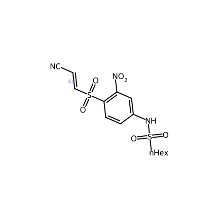 CCCCCCS(=O)(=O)Nc1ccc(S(=O)(=O)/C=C/C#N)c([N+](=O)[O-])c1